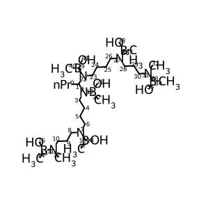 CCCC(N(CCCCN(CCCN(C)B(C)O)B(C)O)B(C)O)N(CCCCN(CCCN(C)B(C)O)B(C)O)B(C)O